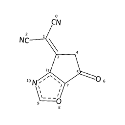 N#CC(C#N)=C1CC(=O)c2ocnc21